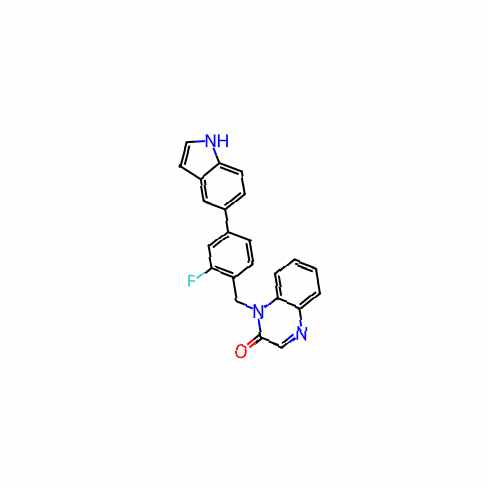 O=c1cnc2ccccc2n1Cc1ccc(-c2ccc3[nH]ccc3c2)cc1F